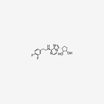 O[C@@H]1[C@H](O)CC[C@H]1c1cnc2c(NCCc3ccc(F)c(F)c3)nccn12